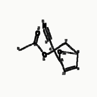 CC(=O)OC1(C#N)CC2C=CC1O2